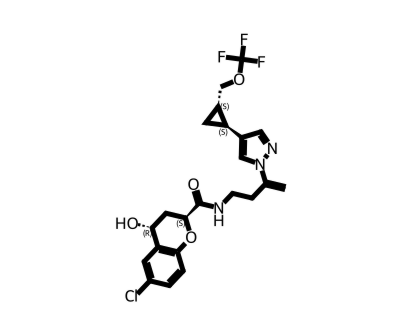 C=C(CCNC(=O)[C@@H]1C[C@@H](O)c2cc(Cl)ccc2O1)n1cc([C@H]2C[C@@H]2COC(F)(F)F)cn1